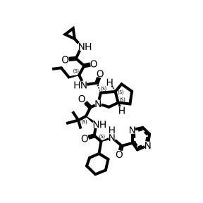 CCC[C@H](NC(=O)[C@@H]1[C@H]2CCC[C@@H]2CN1C(=O)[C@@H](NC(=O)[C@@H](NC(=O)c1cnccn1)C1CCCCC1)C(C)(C)C)C(=O)C(=O)NC1CC1